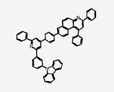 C1=CC(c2cc(-c3ccccc3)nc(-c3cccc(-n4c5ccccc5c5ccccc54)c3)c2)CC=C1c1ccc2c(ccc3nc(-c4ccccc4)cc(-c4ccccc4)c32)c1